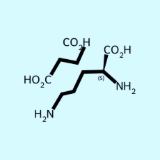 NCCC[C@H](N)C(=O)O.O=C(O)CCC(=O)O